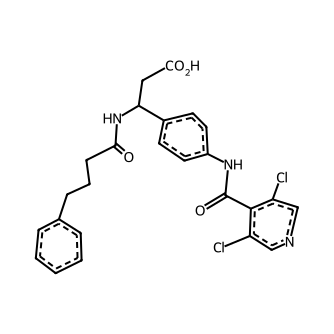 O=C(O)CC(NC(=O)CCCc1ccccc1)c1ccc(NC(=O)c2c(Cl)cncc2Cl)cc1